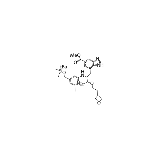 CCC(OCCC1COC1)C(Cc1cc(C(=O)OC)cc2nc[nH]c12)Nc1cc(CO[Si](C)(C)C(C)(C)C)cc(C)n1